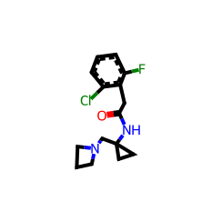 O=C(Cc1c(F)cccc1Cl)NC1(CN2CCC2)CC1